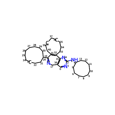 c1nc(NC2CCCCCCCCC2)nc2c1CN=C(C1CCCCCCCCCC1)C1=C2CCCCCCCC1